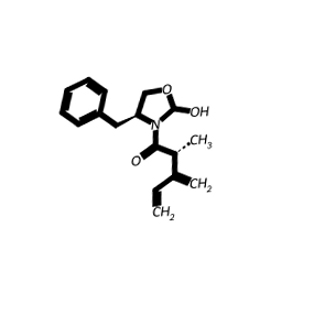 C=CC(=C)[C@@H](C)C(=O)N1C(O)OC[C@@H]1Cc1ccccc1